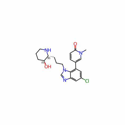 Cn1cc(-c2cc(Cl)cc3ncn(CCC[C@H]4NCCC[C@@H]4O)c23)ccc1=O